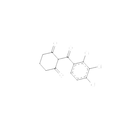 O=C1CCCC(=O)C1C(=O)c1ccc(Cl)c(Cl)c1Cl